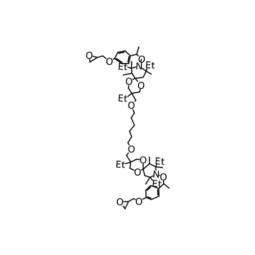 CCC1(COCCCCCCOCC2(CC)COC3(CC(C)(CC)N(OC(C)c4ccc(OCC5CO5)cc4)C(C)(CC)C3C)OC2)COC2(CC(C)(CC)N(OC(C)c3ccc(OCC4CO4)cc3)C(C)(CC)C2C)OC1